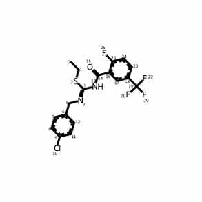 CCS/C(=N\Cc1ccc(Cl)cc1)NC(=O)c1cc(C(F)(F)F)ccc1F